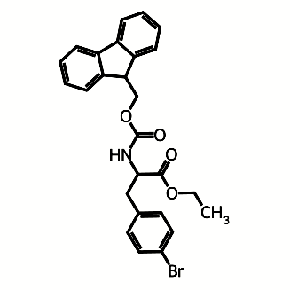 CCOC(=O)C(Cc1ccc(Br)cc1)NC(=O)OCC1c2ccccc2-c2ccccc21